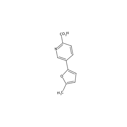 Cc1ccc(-c2ccc(C(=O)O)nc2)o1